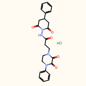 Cl.O=C(CCN1CCN(c2ccccc2)C(=O)C1=O)NN1C(=O)CC(c2ccccc2)CC1=O